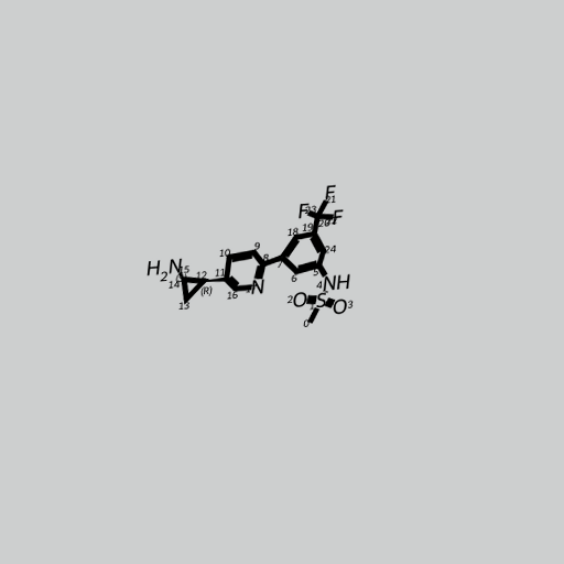 CS(=O)(=O)Nc1cc(-c2ccc([C@H]3C[C@@H]3N)cn2)cc(C(F)(F)F)c1